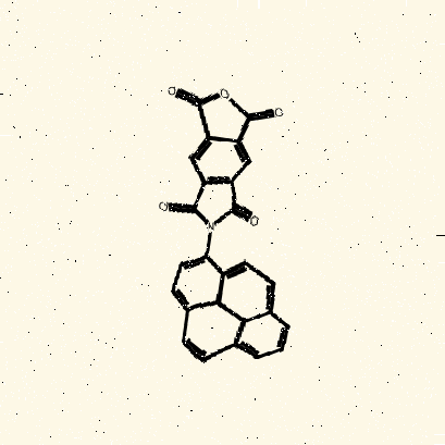 O=c1oc(=O)c2cc3c(=O)n(C4=CC=C5C=CC6=CC=CC7=CC=C4C5C67)c(=O)c3cc12